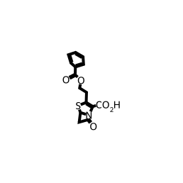 O=C(O)C1=C(CCOC(=O)c2ccccc2)SC2CC(=O)N12